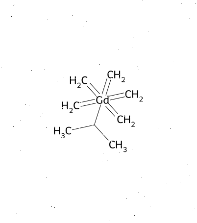 [CH2]=[Gd](=[CH2])(=[CH2])(=[CH2])(=[CH2])[CH](C)C